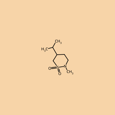 CC(C)C1CCN(C)S(=O)(=O)C1